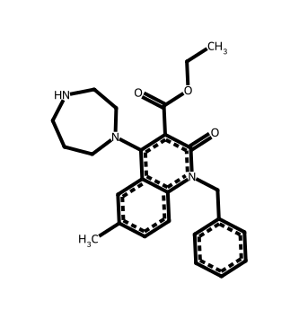 CCOC(=O)c1c(N2CCCNCC2)c2cc(C)ccc2n(Cc2ccccc2)c1=O